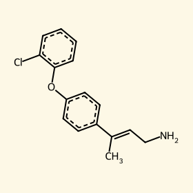 CC(=CCN)c1ccc(Oc2ccccc2Cl)cc1